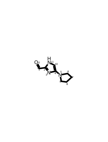 O=[C]c1nc(N2CCCC2)c[nH]1